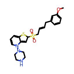 COc1cccc(CC=CCS(=O)(=O)C2C=C3C(=CC=CN3N3CCNCC3)S2)c1